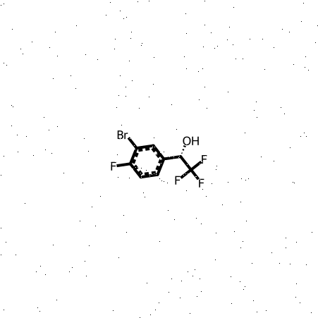 O[C@@H](c1ccc(F)c(Br)c1)C(F)(F)F